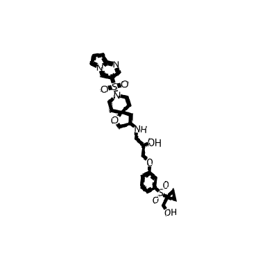 O=S(=O)(c1cnc2cccn2c1)N1CCC2(CC1)CC(NCC(O)COc1cccc(S(=O)(=O)C3(CO)CC3)c1)CO2